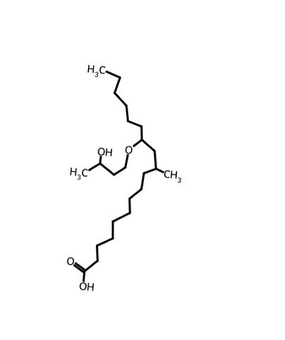 CCCCCCC(CC(C)CCCCCCCCC(=O)O)OCCC(C)O